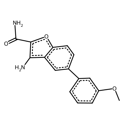 COc1cccc(-c2ccc3oc(C(N)=O)c(N)c3c2)c1